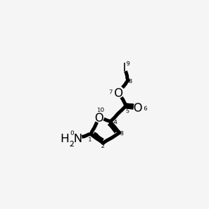 Nc1ccc(C(=O)OCI)o1